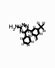 Cc1cc(-c2nnc(N)nc2-c2ccccc2)cc(C(C)(C)C)c1